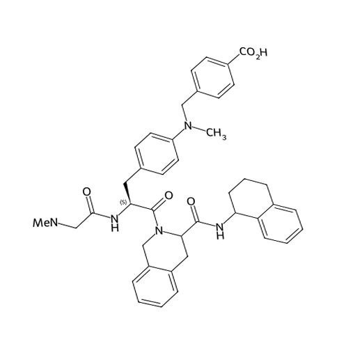 CNCC(=O)N[C@@H](Cc1ccc(N(C)Cc2ccc(C(=O)O)cc2)cc1)C(=O)N1Cc2ccccc2CC1C(=O)NC1CCCc2ccccc21